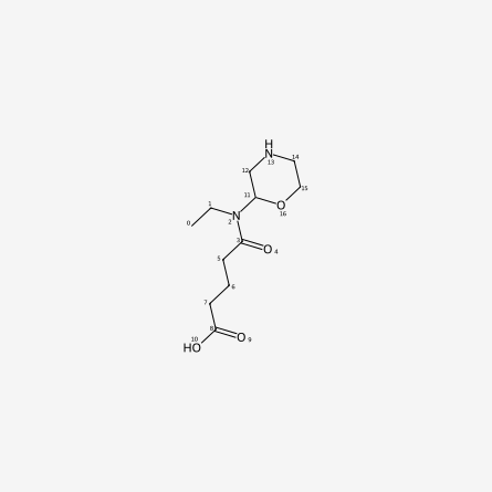 CCN(C(=O)CCCC(=O)O)C1CNCCO1